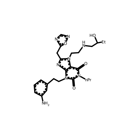 CCCn1c(=O)c2c(nc(Cc3ncno3)n2CCNCC(O)CC)n(CCc2cccc(N)c2)c1=O